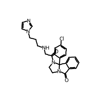 O=C(CNCCCn1ccnc1)N1CCN2C(=O)c3ccccc3C12c1ccc(Cl)cc1